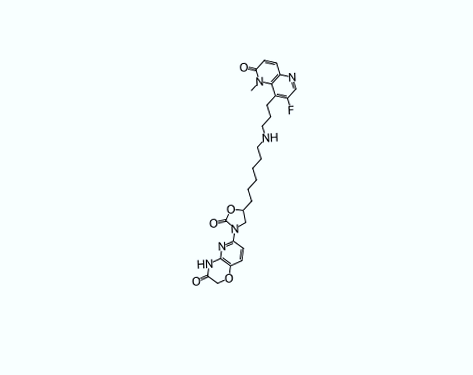 Cn1c(=O)ccc2ncc(F)c(CCCNCCCCCCC3CN(c4ccc5c(n4)NC(=O)CO5)C(=O)O3)c21